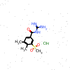 Cc1cc(C(=O)NC(=N)N)cc(S(C)(=O)=O)c1C.Cl